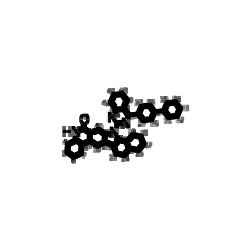 O=c1[nH]c2ccccc2c2cc3c4ccc5ccccc5c4n(-c4nc(-c5ccc(-c6ccccc6)cc5)c5ccccc5n4)c3cc12